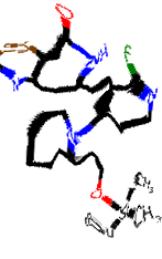 CC(C)(C)[Si](C)(C)OCC1CCCCN1c1ccnc(F)c1C1Cc2ncsc2C(=O)N1